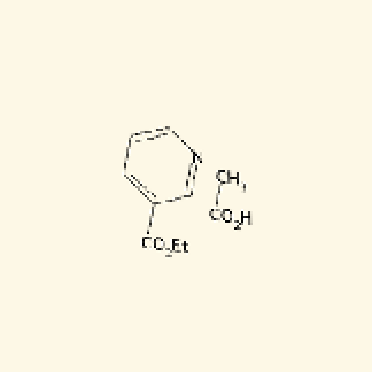 CC(=O)O.CCOC(=O)c1cccnc1